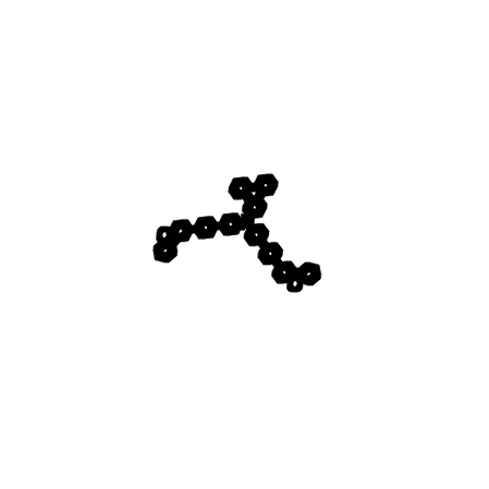 c1ccc2c(c1)oc1ccc(-c3ccc(-c4ccc(N(c5ccc(-c6ccc(-c7ccc8oc9ccccc9c8c7)cc6)cc5)c5ccc6c7ccccc7c7ccccc7c6c5)cc4)cc3)cc12